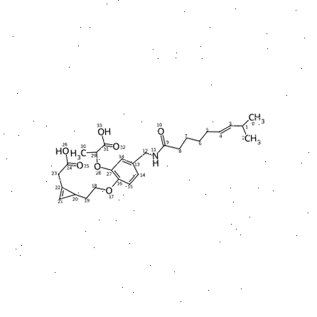 CC(C)/C=C/CCCCC(=O)NCc1ccc(OCCC2C=C2CC(=O)O)c(OC(C)C(=O)O)c1